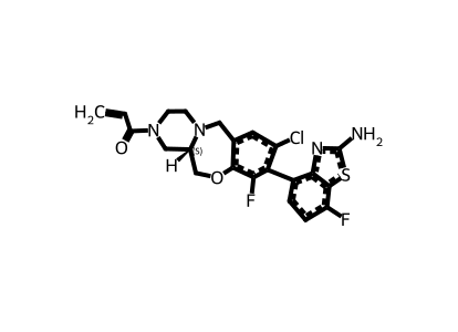 C=CC(=O)N1CCN2Cc3cc(Cl)c(-c4ccc(F)c5sc(N)nc45)c(F)c3OC[C@@H]2C1